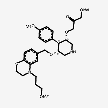 COCCCN1CCOc2ccc(CO[C@H]3CNC[C@@H](OCC(=O)COC)[C@@H]3c3ccc(OC)cc3)cc21